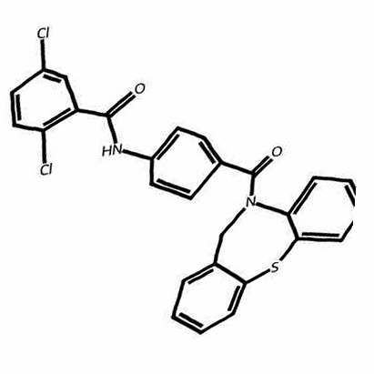 O=C(Nc1ccc(C(=O)N2Cc3ccccc3Sc3ccccc32)cc1)c1cc(Cl)ccc1Cl